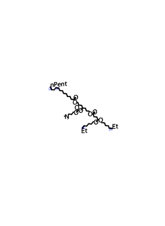 CC/C=C\CCCCOC(CCC(=O)OCCCC(CCCOC(=O)CCCCCCC/C=C\C/C=C\CCCCC)OC(=O)OCCCN(C)C)OCCCC/C=C\CC